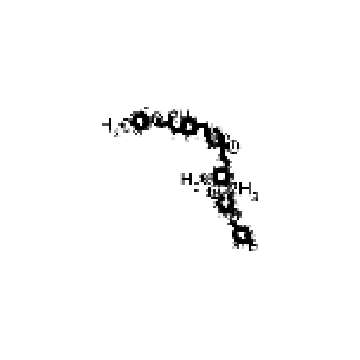 C/C(=C\c1ccc(CN2CCN(C(=O)/C=C/c3cc(C)c(Oc4ccc(OCc5ccc(F)cc5)cn4)c(C)c3)CC2)cc1)COc1ccc(C)cc1